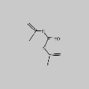 C=C(C)OC(=O)SC(=C)C